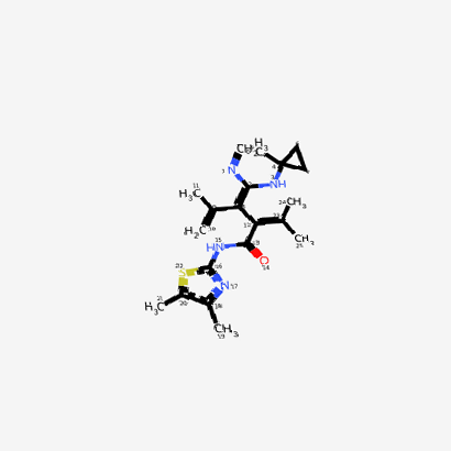 C=N/C(NC1(C)CC1)=C(\C(=C)C)C(C(=O)Nc1nc(C)c(C)s1)=C(C)C